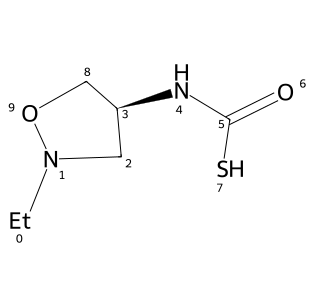 CCN1C[C@H](NC(=O)S)CO1